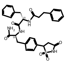 NC(=O)[C@H](Cc1ccc(C2CC(=O)NS2(=O)=O)cc1)NC(=O)[C@H](Cc1ccccc1)NC(=O)CCc1ccccc1